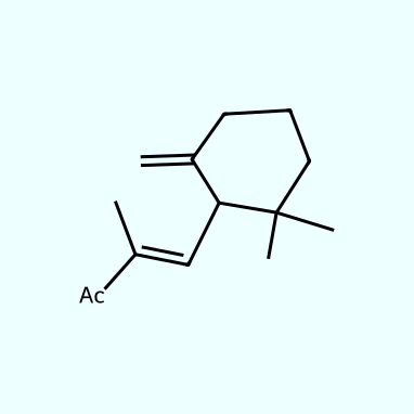 C=C1CCCC(C)(C)C1/C=C(\C)C(C)=O